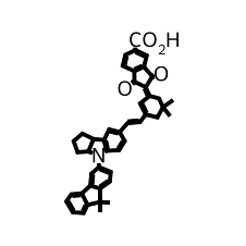 CC1(C)CC(/C=C/c2ccc3c(c2)C2CCCC2N3c2ccc3c(c2)-c2ccccc2C3(C)C)=CC(=C2\C(=O)c3ccc(C(=O)O)cc3C2=O)/C1